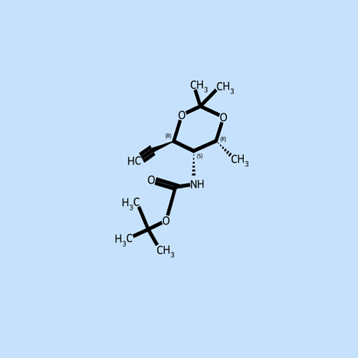 C#C[C@H]1OC(C)(C)O[C@H](C)[C@@H]1NC(=O)OC(C)(C)C